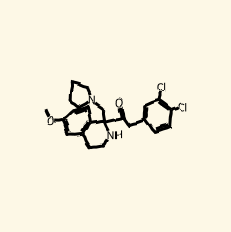 COc1ccc2c(c1)CCNC2(CN1CCCC1)C(=O)Cc1ccc(Cl)c(Cl)c1